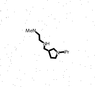 CNCCNCC1CCN(C(C)C)C1